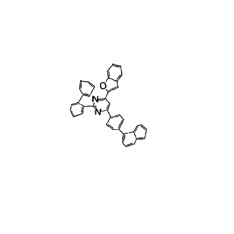 c1ccc(-c2ccccc2-c2nc(-c3ccc(-c4cccc5ccccc45)cc3)cc(-c3cc4ccccc4o3)n2)cc1